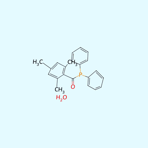 Cc1cc(C)c(C(=O)P(c2ccccc2)c2ccccc2)c(C)c1.O